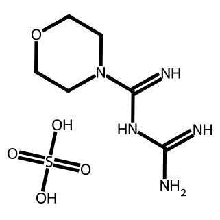 N=C(N)NC(=N)N1CCOCC1.O=S(=O)(O)O